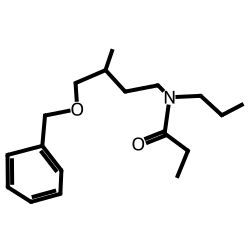 CCCN(CCC(C)COCc1ccccc1)C(=O)CC